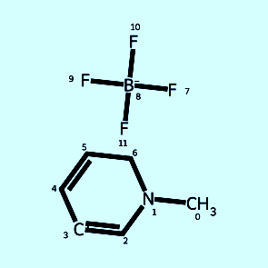 CN1C=[C+]C=CC1.F[B-](F)(F)F